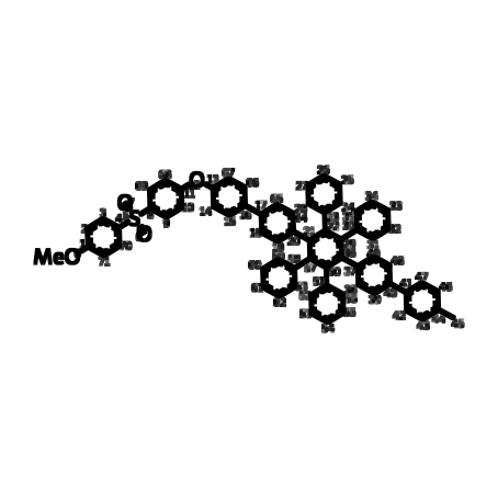 COc1ccc(S(=O)(=O)c2ccc(Oc3ccc(-c4ccc(-c5c(-c6ccccc6)c(-c6ccccc6)c(-c6ccc(-c7ccc(C)cc7)cc6)c(-c6ccccc6)c5-c5ccccc5)cc4)cc3)cc2)cc1